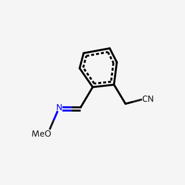 CO/N=C/c1ccccc1CC#N